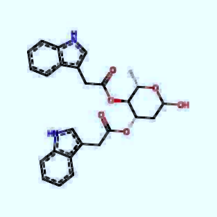 C[C@@H]1OC(O)C[C@H](OC(=O)Cc2c[nH]c3ccccc23)[C@H]1OC(=O)Cc1c[nH]c2ccccc12